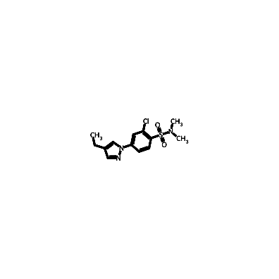 CCc1cnn(-c2ccc(S(=O)(=O)N(C)C)c(Cl)c2)c1